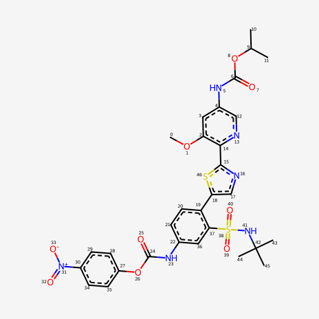 COc1cc(NC(=O)OC(C)C)cnc1-c1ncc(-c2ccc(NC(=O)Oc3ccc([N+](=O)[O-])cc3)cc2S(=O)(=O)NC(C)(C)C)s1